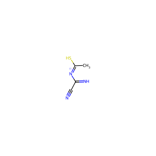 C/C(S)=N\C(=N)C#N